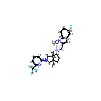 Cn1c(CN[C@H]2CC[C@@H]3CN(c4cccc(C(F)(F)F)n4)C[C@@H]32)cc2cc(F)ccc21